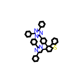 c1ccc(-c2cc(-c3ccc4sc5ccccc5c4c3-c3ccc(-c4nc(-c5ccccc5)nc(-c5ccccc5)n4)cc3)nc(-c3ccccc3)n2)cc1